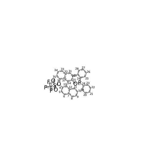 O=S(=O)(Oc1ccc2ccccc2c1-c1c(OP(c2ccccc2)c2ccccc2)ccc2ccccc12)C(F)(F)F